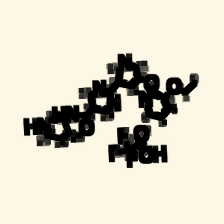 CCOc1cccnc1Oc1cncc(-c2ncc(C(=O)N[C@H]3CNCC[C@H]3C)cn2)c1.O=C(O)C(F)(F)F